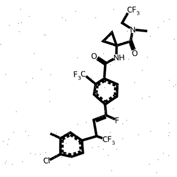 Cc1cc(C(C=C(F)c2ccc(C(=O)NC3(C(=O)N(C)CC(F)(F)F)CC3)c(C(F)(F)F)c2)C(F)(F)F)ccc1Cl